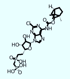 CC1(C)[C@@H]2CC[C@@]1(C)C(OC(=O)Nc1nc(Cl)nc3c1ncn3[C@@H]1O[C@H](CCP(=O)(O)CP(=O)(O)O)[C@H](O)C1O)C2